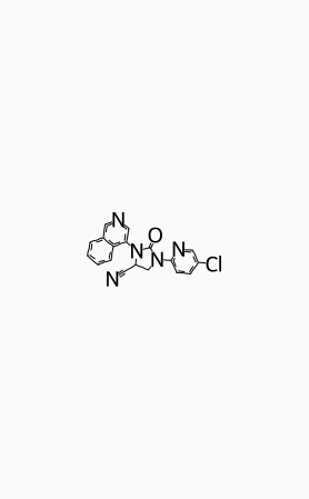 N#CC1CN(c2ccc(Cl)cn2)C(=O)N1c1cncc2ccccc12